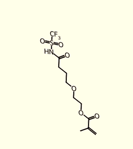 C=C(C)C(=O)OCCOCCCC(=O)NS(=O)(=O)C(F)(F)F